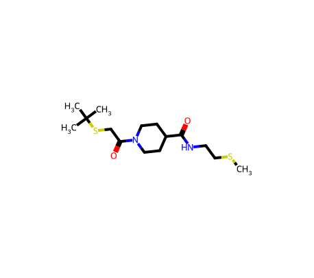 CSCCNC(=O)C1CCN(C(=O)CSC(C)(C)C)CC1